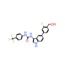 O=C(Nc1ccc(C(F)(F)F)cc1)Nc1c[nH]c2ccc(-c3ccc(CO)c(F)c3)cc12